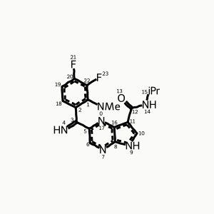 CNc1c(C(=N)c2cnc3[nH]cc(C(=O)NC(C)C)c3n2)ccc(F)c1F